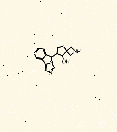 OC1C(C2c3ccccc3-c3cncn32)CCC12CNC2